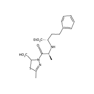 CCOC(=O)[C@H](CCc1ccccc1)N[C@@H](C)C(=O)N1N=C(C)SC1C(=O)O